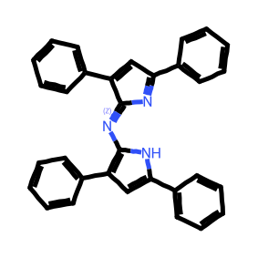 C1=C(c2ccccc2)/C(=N/c2[nH]c(-c3ccccc3)cc2-c2ccccc2)N=C1c1ccccc1